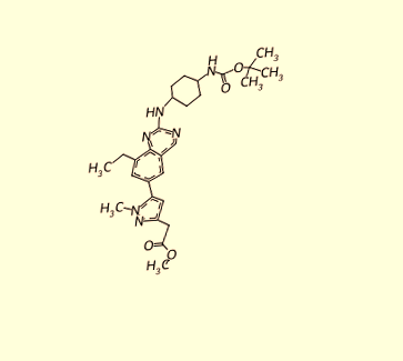 CCc1cc(-c2cc(CC(=O)OC)nn2C)cc2cnc(NC3CCC(NC(=O)OC(C)(C)C)CC3)nc12